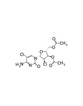 CC(=O)OC[C@H]1O[C@@H](n2cc(Cl)c(N)nc2=O)[C@H](Cl)[C@@H]1OC(C)=O